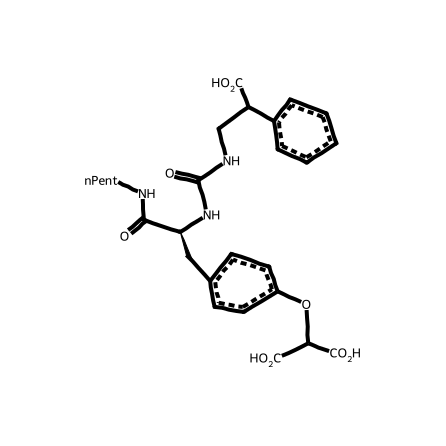 CCCCCNC(=O)[C@H](Cc1ccc(OC(C(=O)O)C(=O)O)cc1)NC(=O)NCC(C(=O)O)c1ccccc1